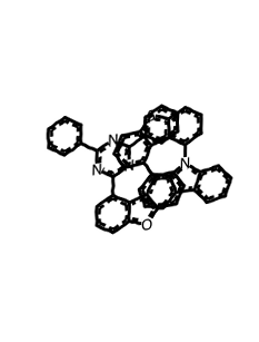 c1ccc(-c2nc(-c3ccccc3)nc(-c3cccc4oc5cccc(-c6cccc7sc8cccc(-n9c%10ccccc%10c%10ccccc%109)c8c67)c5c34)n2)cc1